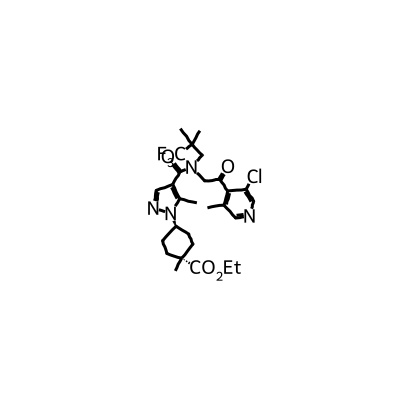 CCOC(=O)[C@]1(C)CC[C@@H](n2ncc(C(=O)N(CC(=O)c3c(C)cncc3Cl)CC(C)(C)C(F)(F)F)c2C)CC1